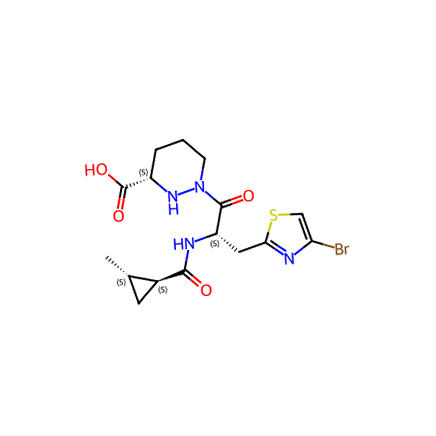 C[C@H]1C[C@@H]1C(=O)N[C@@H](Cc1nc(Br)cs1)C(=O)N1CCC[C@@H](C(=O)O)N1